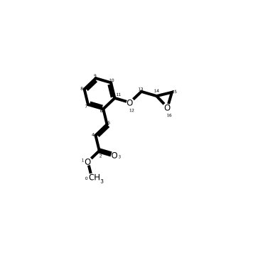 COC(=O)C=Cc1ccccc1OCC1CO1